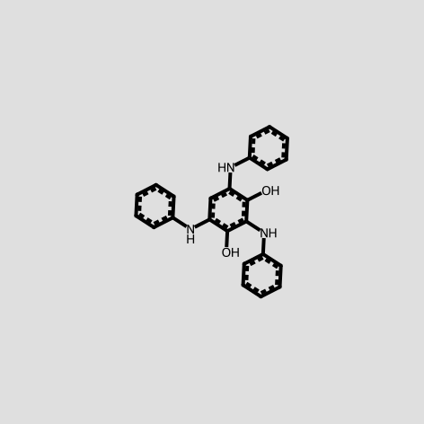 Oc1c(Nc2ccccc2)cc(Nc2ccccc2)c(O)c1Nc1ccccc1